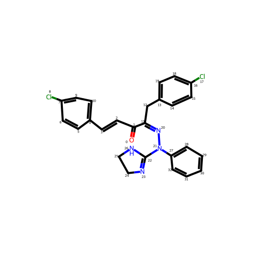 O=C(C=Cc1ccc(Cl)cc1)C(Cc1ccc(Cl)cc1)=NN(C1=NCCN1)c1ccccc1